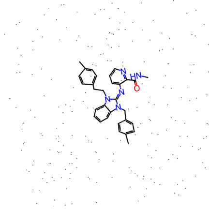 CNC(=O)c1ncccc1/N=c1\n(CCc2ccc(C)cc2)c2ccccc2n1Cc1ccc(C)cc1